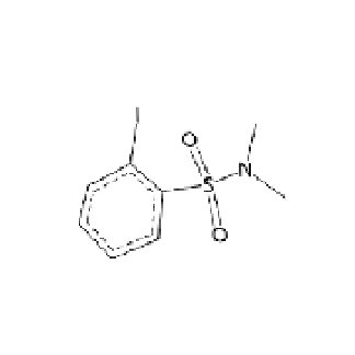 CN(C)S(=O)(=O)c1ccccc1I